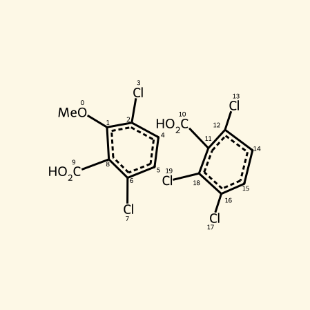 COc1c(Cl)ccc(Cl)c1C(=O)O.O=C(O)c1c(Cl)ccc(Cl)c1Cl